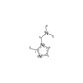 Cc1nc[c]n1CN(C)C